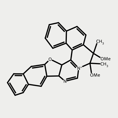 COC1(C)c2ccc3ccccc3c2C2=[N+](C=NC3c4cc5ccccc5cc4OC23)C1(C)OC